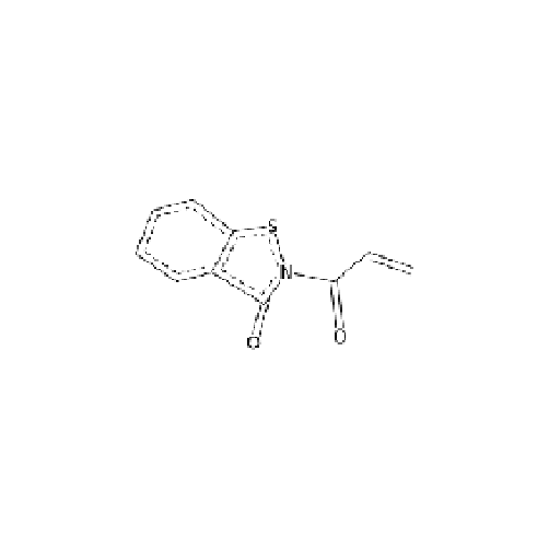 C=CC(=O)n1sc2ccccc2c1=O